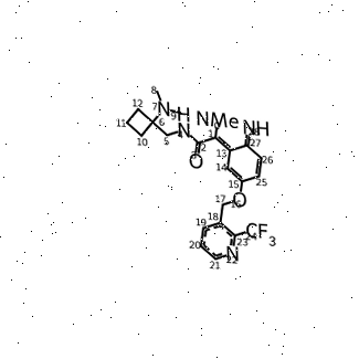 CN/C(C(=O)NCC1(N(C)C)CCC1)=C1/C=C(OCc2cccnc2C(F)(F)F)C=CC1=N